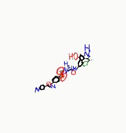 C[C@@H](Cl)[C@@H]1CNc2cc(O)c3cc(CNC(=O)CCNS(=O)(=O)c4ccc(-c5ncc(-c6ccc(N(C)C)cc6)o5)cc4)ccc3c21